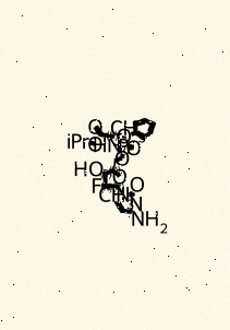 CC(C)OC(=O)[C@H](C)N[P@@](=O)(OC[C@H]1O[C@@H](n2ccc(N)nc2=O)[C@](C)(F)[C@@H]1O)Oc1ccccc1